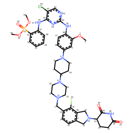 COc1cc(N2CCC(N3CCN(Cc4ccc5c(c4F)CN(C4CCC(=O)NC4=O)C5)CC3)CC2)ccc1Nc1ncc(Cl)c(Nc2ccccc2P(=O)(OC)OC)n1